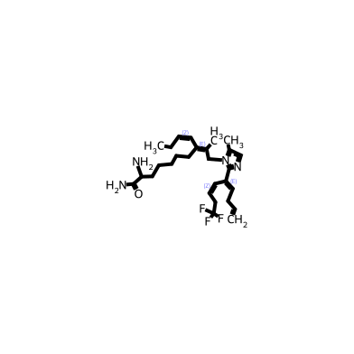 C=CC/C=C(\C=C/CC(F)(F)F)c1ncc(C)n1C/C(C)=C(/C=C\CC)CCCCCC(N)C(N)=O